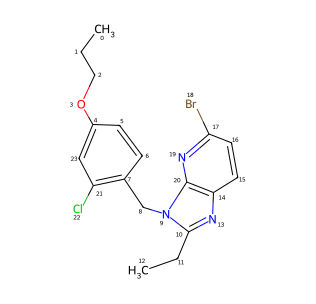 CCCOc1ccc(Cn2c(CC)nc3ccc(Br)nc32)c(Cl)c1